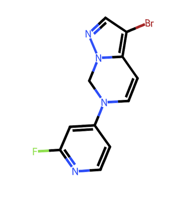 Fc1cc(N2C=Cc3c(Br)cnn3C2)ccn1